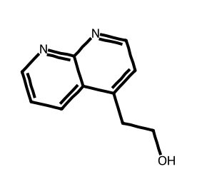 OCCc1ccnc2ncccc12